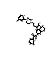 Cc1ccnc(N2CCN(CCc3c(C)n4c5c(cc(NC(=O)c6ccccc6)cc35)CCC4)CC2)c1